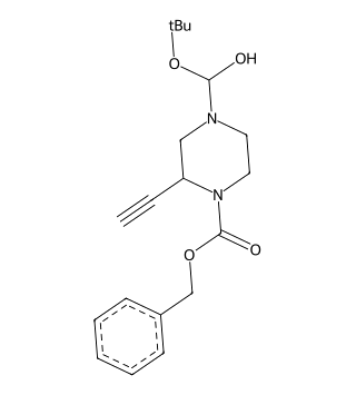 C#CC1CN(C(O)OC(C)(C)C)CCN1C(=O)OCc1ccccc1